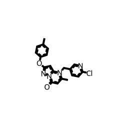 Cc1ccc(Oc2cc3n(Cc4ccc(Cl)nc4)c(C)cc(=O)n3n2)cc1